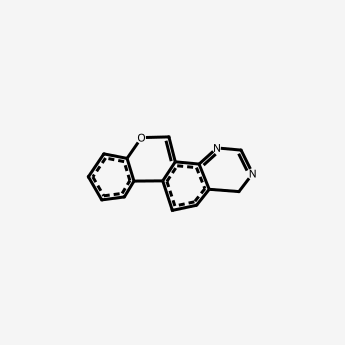 C1=NCc2ccc3c(c2=N1)=COc1ccccc1-3